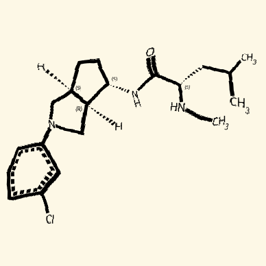 CN[C@@H](CC(C)C)C(=O)N[C@H]1CC[C@@H]2CN(c3cccc(Cl)c3)C[C@@H]21